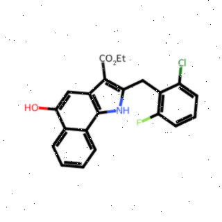 CCOC(=O)c1c(Cc2c(F)cccc2Cl)[nH]c2c1cc(O)c1ccccc12